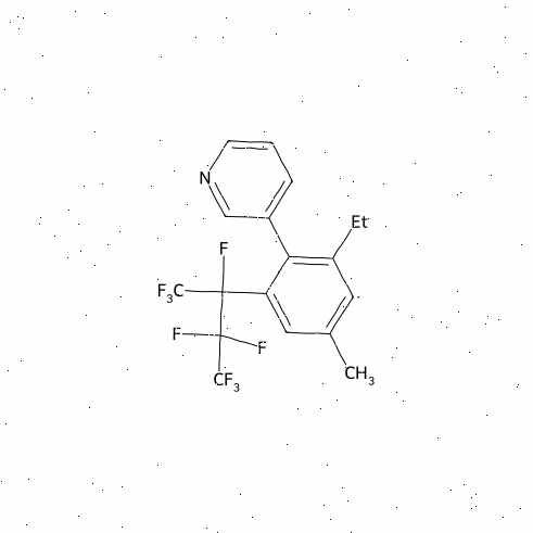 CCc1[c]c(C)cc(C(F)(C(F)(F)F)C(F)(F)C(F)(F)F)c1-c1cccnc1